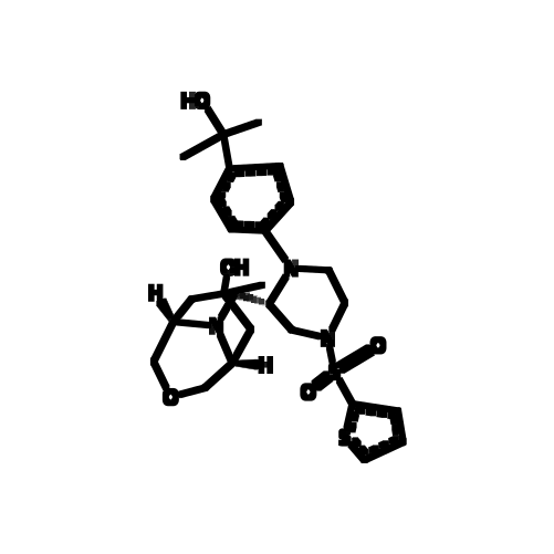 CC1(O)C[C@H]2COC[C@@H](C1)N2C[C@H]1CN(S(=O)(=O)c2cccs2)CCN1c1ccc(C(C)(C)O)cc1